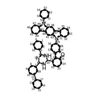 c1ccc(C2=NC(c3cccc(-c4ccccc4)c3)NC(c3cccc4oc5cc(-n6c7ccccc7c7cc8c(cc76)c6ccccc6n8-c6ccccc6)ccc5c34)N2)cc1